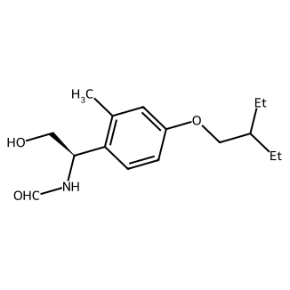 CCC(CC)COc1ccc([C@H](CO)NC=O)c(C)c1